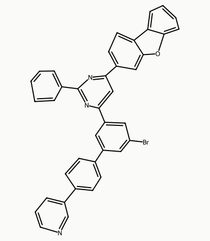 Brc1cc(-c2ccc(-c3cccnc3)cc2)cc(-c2cc(-c3ccc4c(c3)oc3ccccc34)nc(-c3ccccc3)n2)c1